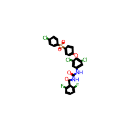 O=C(NC(=O)c1c(F)cccc1F)Nc1cc(Cl)c(Oc2ccc(S(=O)(=O)c3ccc(Cl)cc3)cc2)c(Cl)c1